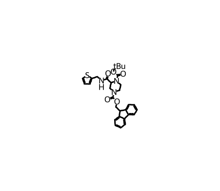 CC(C)(C)OC(=O)N1CCN(C(=O)OCC2c3ccccc3-c3ccccc32)CC1C(=O)NCc1cccs1